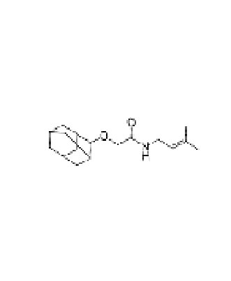 CC(C)=CCNC(=O)COC1C2CC3CC(C2)CC1C3